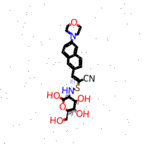 N#C/C(=C\c1ccc2cc(N3CCOCC3)ccc2c1)SN[C@H]1C(O)O[C@H](CO)[C@@H](O)[C@@H]1O